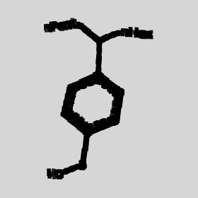 CCCCCCC(CCCCC)c1ccc(SO)cc1